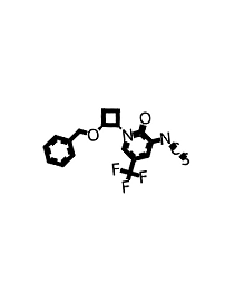 O=c1c(N=C=S)cc(C(F)(F)F)cn1[C@H]1CC[C@@H]1OCc1ccccc1